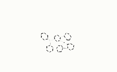 c1ccc(P(c2ccccc2)c2ccc3c(c2)C2(c4ccccc4-c4ccccc42)c2ccccc2-3)cc1